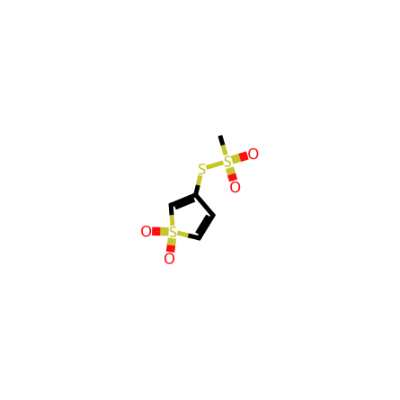 CS(=O)(=O)SC1=CS(=O)(=O)C=C1